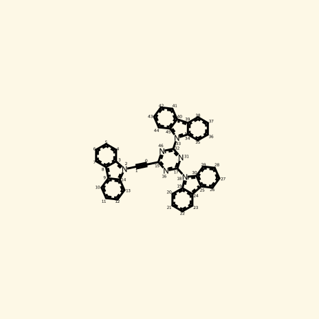 C(#Cn1c2ccccc2c2ccccc21)c1nc(-n2c3ccccc3c3ccccc32)nc(-n2c3ccccc3c3ccccc32)n1